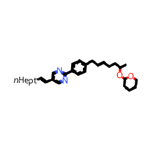 CCCCCCCC=Cc1cnc(-c2ccc(CCCCCC(C)OC3CCCCO3)cc2)nc1